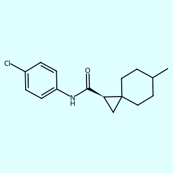 CC1CCC2(CC1)C[C@H]2C(=O)Nc1ccc(Cl)cc1